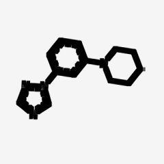 [CH]1CCN(c2cccc(-n3cncn3)c2)CC1